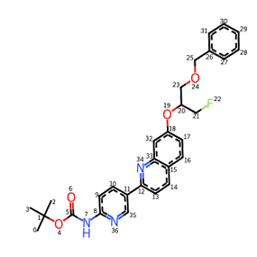 CC(C)(C)OC(=O)Nc1ccc(-c2ccc3ccc(OC(CF)COCc4ccccc4)cc3n2)cn1